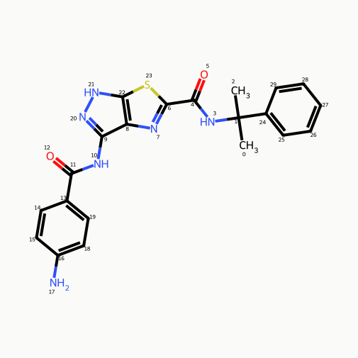 CC(C)(NC(=O)c1nc2c(NC(=O)c3ccc(N)cc3)n[nH]c2s1)c1ccccc1